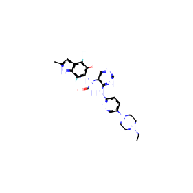 CCN1CCN(c2ccc(Nc3ncnc(Oc4cc(F)c5[nH]c(C)cc5c4F)c3NC=O)nc2)CC1